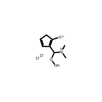 CCCOC(C1=[C]([Ti+2])CC=C1)[SiH](C)C.[Cl-].[Cl-]